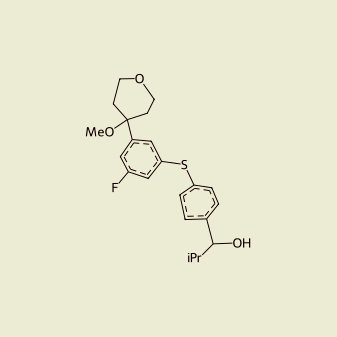 COC1(c2cc(F)cc(Sc3ccc(C(O)C(C)C)cc3)c2)CCOCC1